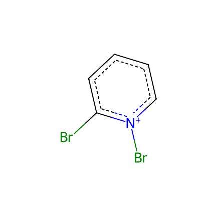 Brc1cccc[n+]1Br